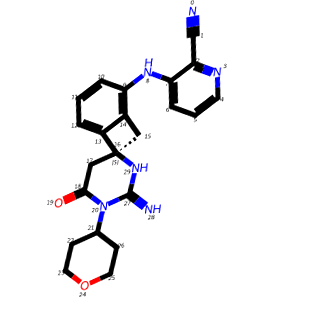 N#Cc1ncccc1Nc1cccc2c1C[C@]21CC(=O)N(C2CCOCC2)C(=N)N1